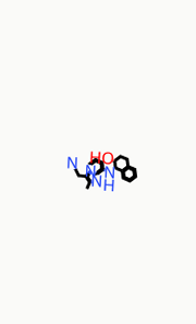 Cc1nc2c(NC3c4ccccc4CCC3O)cccn2c1CC#N